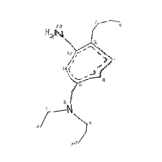 CCc1ccc(N(CC)CC)cc1N